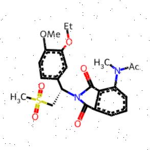 CCOc1cc([C@@H](CS(C)(=O)=O)N2C(=O)c3cccc(N(C)C(C)=O)c3C2=O)ccc1OC